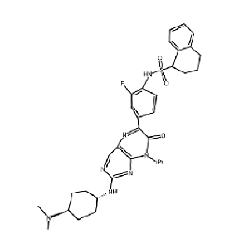 CC(C)n1c(=O)c(-c2ccc(NS(=O)(=O)C3CCCc4ccccc43)c(F)c2)nc2cnc(N[C@H]3CC[C@H](N(C)C)CC3)nc21